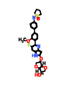 COc1cc(-c2ccc(N=S3(=O)CCCC3)cc2)ccc1-c1nc2cc(O[C@@H]3CO[C@H]4[C@@H]3OC[C@H]4O)[nH]c2cc1F